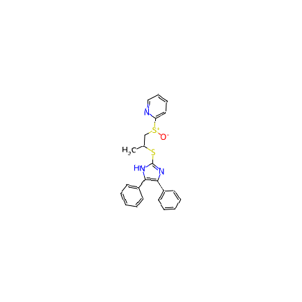 CC(C[S+]([O-])c1ccccn1)Sc1nc(-c2ccccc2)c(-c2ccccc2)[nH]1